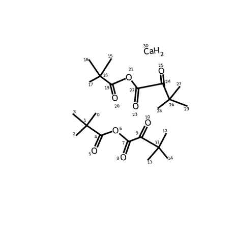 CC(C)(C)C(=O)OC(=O)C(=O)C(C)(C)C.CC(C)(C)C(=O)OC(=O)C(=O)C(C)(C)C.[CaH2]